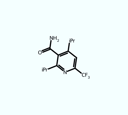 CC(C)c1cc(C(F)(F)F)nc(C(C)C)c1C(N)=O